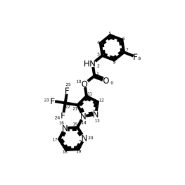 O=C(Nc1cccc(F)c1)Oc1cnn(-c2ncccn2)c1C(F)(F)F